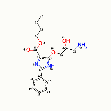 CCCCOC(=O)c1nc(-c2ccccc2)[nH]c1OCC(O)CN